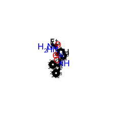 CC[C@H](N)C(=O)N[C@H]1CC[C@H]2CC[C@@H](C(=O)N[C@@H](Cc3ccccc3)c3ccccc3)N2C1=O